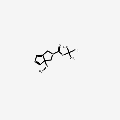 COC12C=NC=C1CN(C(=O)OC(C)(C)C)C2